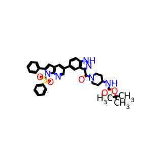 CC(C)(C)OC(=O)NC1CCN(C(=O)c2n[nH]c3ccc(-c4cnc5c(c4)cc(-c4ccccc4)n5S(=O)(=O)c4ccccc4)cc23)CC1